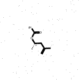 C=C(C)C[C@H](C)OC(=O)C(C)C